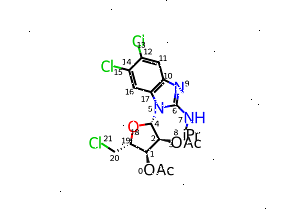 CC(=O)O[C@@H]1[C@H](OC(C)=O)[C@@H](n2c(NC(C)C)nc3cc(Cl)c(Cl)cc32)O[C@H]1CCl